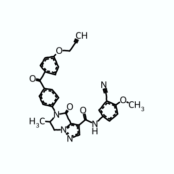 C#CCOc1ccc(C(=O)c2ccc(N3C(=O)c4c(C(=O)Nc5ccc(OC)c(C#N)c5)cnn4CC3C)cc2)cc1